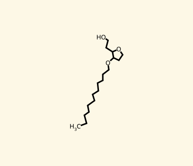 CCCCCCCCCCCCOC1CCOC1CCO